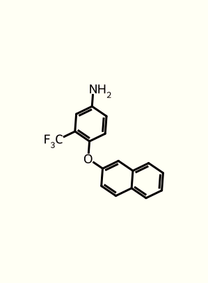 Nc1ccc(Oc2ccc3ccccc3c2)c(C(F)(F)F)c1